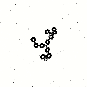 c1ccc(-c2cccc(-c3ccc(N(c4ccc(-c5ccc6c7ccc8ccccc8c7n(-c7ccccc7)c6c5)cc4)c4ccc(-c5cccc6oc7ccccc7c56)cc4)cc3)c2)cc1